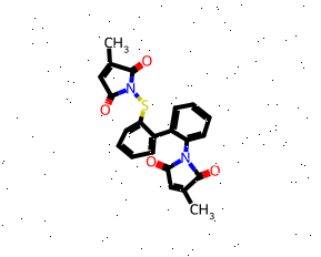 CC1=CC(=O)N(Sc2ccccc2-c2ccccc2N2C(=O)C=C(C)C2=O)C1=O